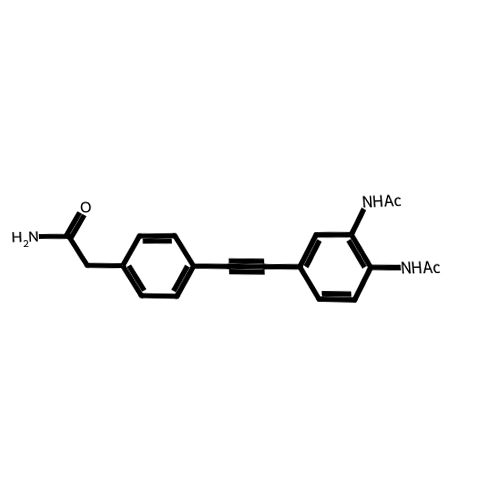 CC(=O)Nc1ccc(C#Cc2ccc(CC(N)=O)cc2)cc1NC(C)=O